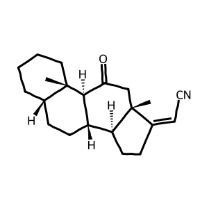 C[C@]12CCCC[C@H]1CC[C@@H]1[C@@H]2C(=O)C[C@]2(C)/C(=C\C#N)CC[C@@H]12